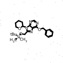 CC(C)(C)[Si](C)(C)OCc1nc2c(OCc3ccccc3)ncnc2n1C1CCCCO1